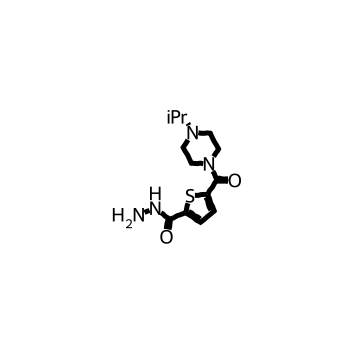 CC(C)N1CCN(C(=O)c2ccc(C(=O)NN)s2)CC1